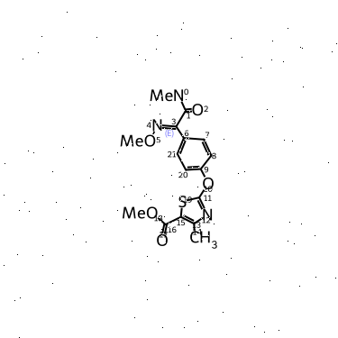 CNC(=O)/C(=N/OC)c1ccc(Oc2nc(C)c(C(=O)OC)s2)cc1